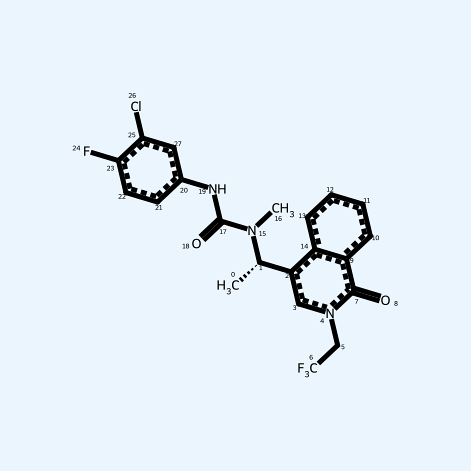 C[C@@H](c1cn(CC(F)(F)F)c(=O)c2ccccc12)N(C)C(=O)Nc1ccc(F)c(Cl)c1